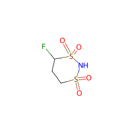 O=S1(=O)CCC(F)S(=O)(=O)N1